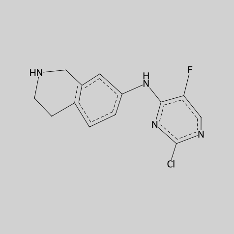 Fc1cnc(Cl)nc1Nc1ccc2c(c1)CNCC2